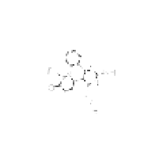 CC(C)n1nc(-c2c(OCCF)nc(N)nc2-c2ccccc2)ccc1=O